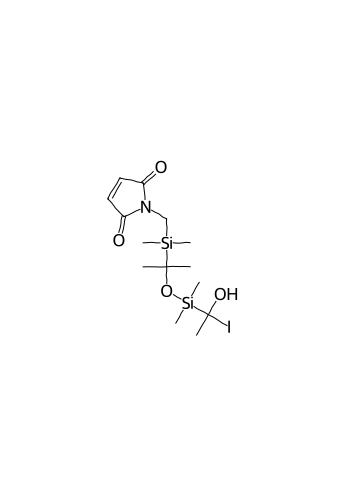 CC(C)(O[Si](C)(C)C(C)(O)I)[Si](C)(C)CN1C(=O)C=CC1=O